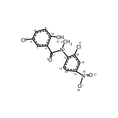 CN(C(=O)c1cc(Cl)ccc1O)c1ccc([N+](=O)[O-])cc1Cl